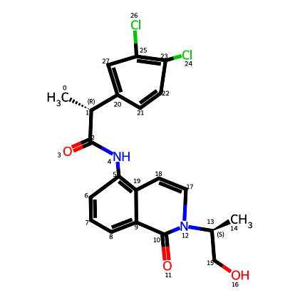 C[C@@H](C(=O)Nc1cccc2c(=O)n([C@@H](C)CO)ccc12)c1ccc(Cl)c(Cl)c1